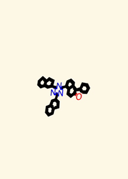 c1ccc2cc(-c3nc(-c4ccc5ccccc5c4)nc(-c4cccc5c4ccc4oc6ccccc6c45)n3)ccc2c1